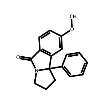 COc1ccc2c(c1)C1(c3ccccc3)CCCN1C2=O